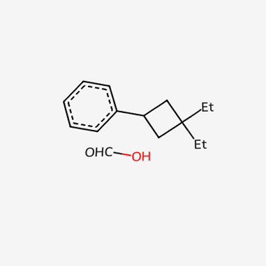 CCC1(CC)CC(c2ccccc2)C1.O=CO